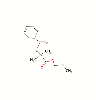 CCCOC(=O)C(C)(C)SC(=S)c1ccccc1